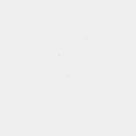 CCOP(=S)(OCC)Sn1c(=O)oc2cc(Cl)ccc21